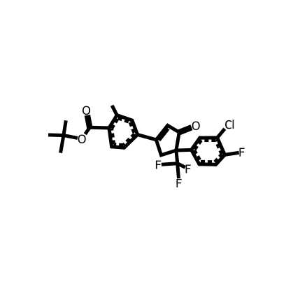 Cc1cc(C2=CC(=O)C(c3ccc(F)c(Cl)c3)(C(F)(F)F)C2)ccc1C(=O)OC(C)(C)C